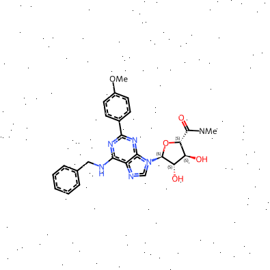 CNC(=O)[C@H]1O[C@H](n2cnc3c(NCc4ccccc4)nc(-c4ccc(OC)cc4)nc32)[C@@H](O)[C@@H]1O